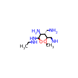 CCNNC(=O)[C@@H](N)[C@H](CN)C(C=N)OC